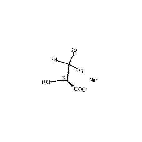 [2H]C([2H])([2H])[C@H](O)C(=O)[O-].[Na+]